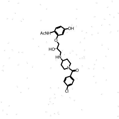 CC(=O)Nc1ccc(O)cc1OC[C@@H](O)CNC1CCN(C(=O)c2ccc(Cl)cc2)CC1